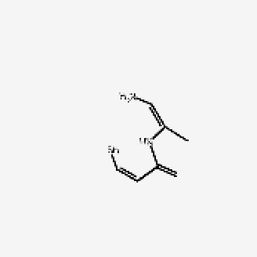 C=C(/C=C\S)N/C(C)=C\N